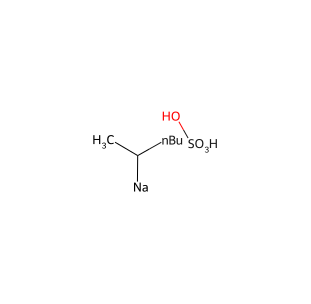 CCCC[CH](C)[Na].O=S(=O)(O)O